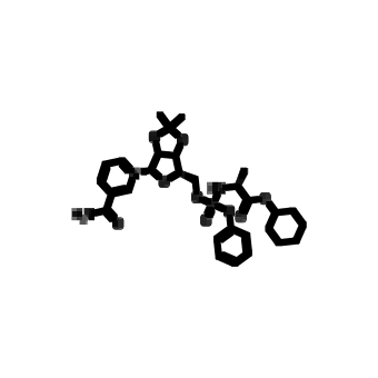 C[C@H](NP(=O)(OC[C@H]1O[C@@H]([n+]2cccc(C(N)=O)c2)C2OC(C)(C)OC21)Oc1ccccc1)C(=O)OC1CCCCC1